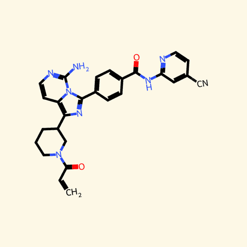 C=CC(=O)N1CCCC(c2nc(-c3ccc(C(=O)Nc4cc(C#N)ccn4)cc3)n3c(N)nccc23)C1